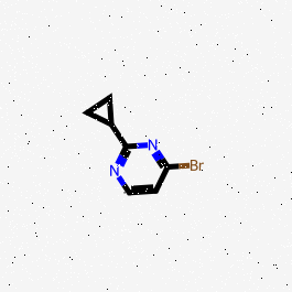 Brc1c[c]nc(C2CC2)n1